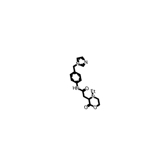 CCN1CCOC(=O)C1CC(=O)Nc1ccc(Cn2ccnc2)cc1